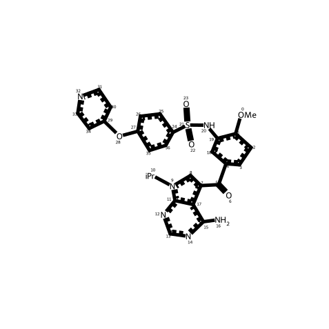 COc1ccc(C(=O)c2cn(C(C)C)c3ncnc(N)c23)cc1NS(=O)(=O)c1ccc(Oc2ccncc2)cc1